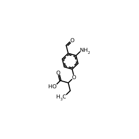 CCC(Oc1ccc(C=O)c(N)c1)C(=O)O